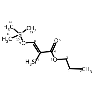 CCCOC(=O)C([SiH3])=CO[Si](C)(C)C